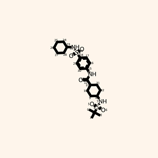 CC(C)(C)S(=O)(=O)NC1CCC(C(=O)Nc2ccc(S(=O)(=O)NC3CCCCC3)cc2)CC1